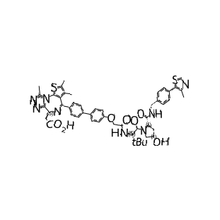 Cc1ncsc1-c1ccc(CNC(=O)[C@@H]2C[C@@H](O)CN2C(=O)[C@@H](NC(=O)COc2ccc(-c3ccc(C4=N[C@@H](CC(=O)O)c5nnc(C)n5-c5sc(C)c(C)c54)cc3)cc2)C(C)(C)C)cc1